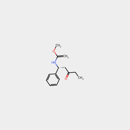 C=C(N[C@H](CC(=O)CC)c1ccccc1)OC